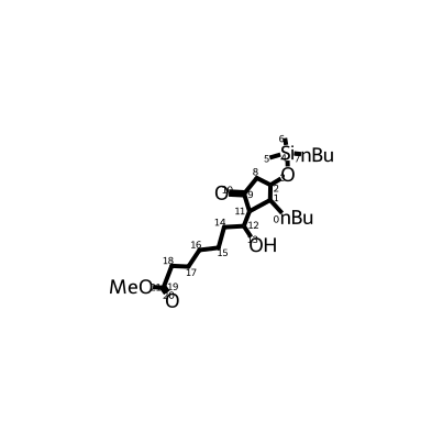 CCCCC1C(O[Si](C)(C)CCCC)CC(=O)C1C(O)CCCCCC(=O)OC